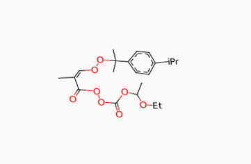 CCOC(C)OC(=O)OOC(=O)C(C)=COOC(C)(C)c1ccc(C(C)C)cc1